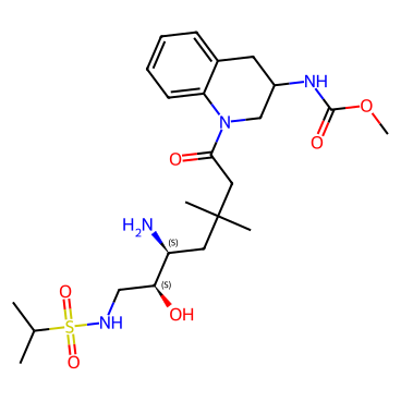 COC(=O)NC1Cc2ccccc2N(C(=O)CC(C)(C)C[C@H](N)[C@@H](O)CNS(=O)(=O)C(C)C)C1